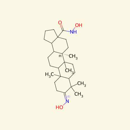 CC1(C)/C(=N/O)CCC2(C)C1CCC1(C)C2CCC2C3CCCC3(C(=O)NO)CC[C@]21C